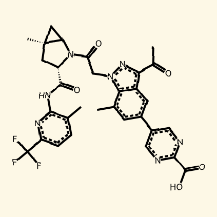 CC(=O)c1nn(CC(=O)N2C3C[C@]3(C)C[C@H]2C(=O)Nc2nc(C(F)(F)F)ccc2C)c2c(C)cc(-c3cnc(C(=O)O)nc3)cc12